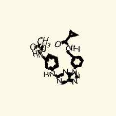 CS(=O)(=O)Nc1cccc(Nc2ncc3nnn(-c4cccc(CNC(=O)C5CC5)c4)c3n2)c1